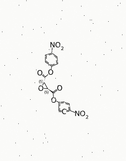 O=C(Oc1ccc([N+](=O)[O-])cc1)[C@H]1O[C@@H]1C(=O)Oc1ccc([N+](=O)[O-])cc1